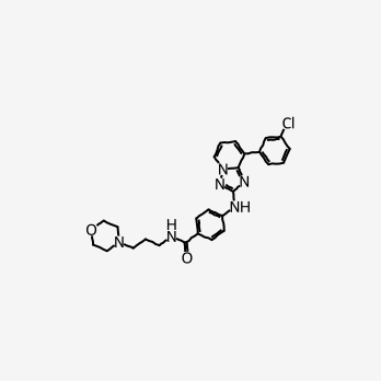 O=C(NCCCN1CCOCC1)c1ccc(Nc2nc3c(-c4cccc(Cl)c4)cccn3n2)cc1